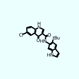 CC(C)(C)c1cc2cc[nH]c2cc1NC(=O)c1c[nH]c2ccc(Cl)cc2c1=O